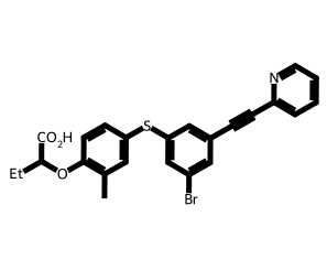 CCC(Oc1ccc(Sc2cc(Br)cc(C#Cc3ccccn3)c2)cc1C)C(=O)O